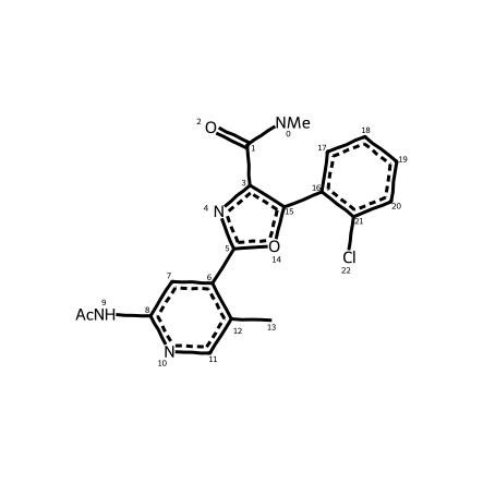 CNC(=O)c1nc(-c2cc(NC(C)=O)ncc2C)oc1-c1ccccc1Cl